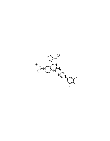 Cc1cc(-n2cnc(Nc3nc4c(c(N5CCC[C@H]5CO)n3)CN(C(=O)OC(C)(C)C)CC4)c2)cc(C)c1C